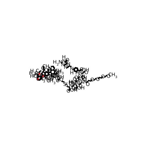 CC[C@](C)(O)C[C@@H](C)C[C@](C(=O)OC)(c1cc2c(cc1OC)N(C)[C@H]1[C@@](O)(C(=O)NNC(=O)OCCSSCC(NC(=O)[C@H](CC(=O)O)NC(=O)[C@H](CC(=O)O)NC(=O)[C@H](CNC(=O)CCOCCOCCOCCOC)NC(=O)CC[C@H](NC(=O)c3ccc(NCc4cnc5nc(N)[nH]c(=O)c5n4)cc3)C(=O)O)C(=O)O)[C@H](O)[C@]3(CC)C=CCN4CC[C@]21[C@@H]43)c1[nH]c2ccccc2c1CCNC